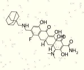 CN(C)[C@@H]1C(O)=C(C(N)=O)C(=O)[C@@]2(O)C(O)=C3C(=O)c4c(O)cc(CNCC56CC7CC(CC(C7)C5)C6)c(F)c4C[C@H]3C[C@@H]12